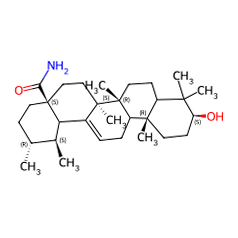 C[C@@H]1CC[C@]2(C(N)=O)CC[C@]3(C)C(=CCC4[C@@]5(C)CC[C@H](O)C(C)(C)C5CC[C@]43C)C2[C@H]1C